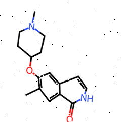 Cc1cc2c(=O)[nH]ccc2cc1OC1CCN(C)CC1